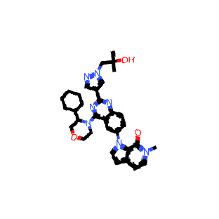 Cn1ccc2ccn(-c3ccc4nc(-c5cnn(CC(C)(C)O)c5)nc(N5CCOCC5C5CCCCC5)c4c3)c2c1=O